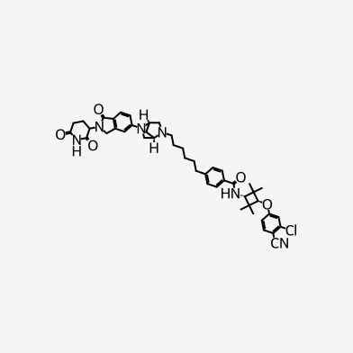 CC1(C)[C@H](NC(=O)c2ccc(CCCCCCN3C[C@@H]4C[C@H]3CN4c3ccc4c(c3)CN(C3CCC(=O)NC3=O)C4=O)cc2)C(C)(C)[C@H]1Oc1ccc(C#N)c(Cl)c1